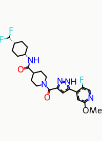 COc1cc(-c2cc(C(=O)N3CCC(C(=O)N[C@H]4CC[C@@H](C(F)F)CC4)CC3)n[nH]2)c(F)cn1